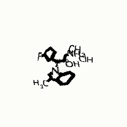 CNC[C@@H](O)[C@H](c1cccc(F)c1)n1cc(C)c2ccccc21.Cl